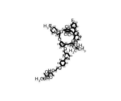 CO[C@@H]1CO[C@H]2[C@@H]1OC[C@H]2OCCOc1ccc(-c2nccc(COc3ccc4cc3C[C@H](C(=O)OC(C)(C)C)Oc3ncnc5sc(-c6ccc(F)cc6)c(c35)-c3c(C)c(Cl)c(c(Cl)c3C)O[C@H](CN3CCN(C)CC3)CO4)n2)cc1